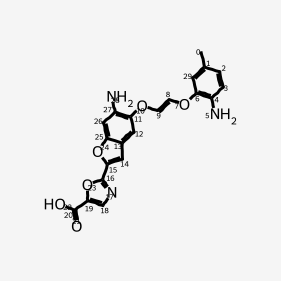 Cc1ccc(N)c(OC=COc2cc3cc(-c4ncc(C(=O)O)o4)oc3cc2N)c1